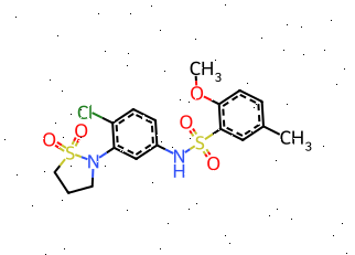 COc1ccc(C)cc1S(=O)(=O)Nc1ccc(Cl)c(N2CCCS2(=O)=O)c1